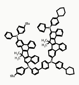 CC(C)(C)c1ccc(N(c2ccccc2)c2ccc3c4c(c5ccccc5c3c2)-c2c(cc(N(c3ccc(C(C)(C)C)cc3)c3cccc(-c5ccc(N(c6ccc(C7CCCCC7)cc6)c6ccc7c8c(c9ccccc9c7c6)-c6c(cc(N(c7ccccc7)c7ccc(C9CCCCC9)cc7)c7ccccc67)C8(C)C)cc5)c3)c3ccccc23)C4(C)C)cc1